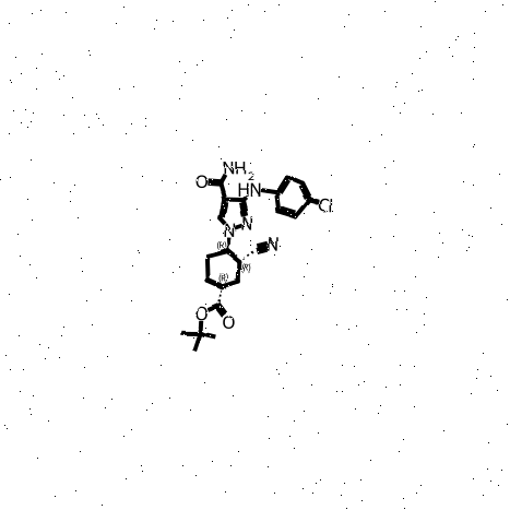 CC(C)(C)OC(=O)[C@@H]1CC[C@@H](n2cc(C(N)=O)c(Nc3ccc(Cl)cc3)n2)[C@H](C#N)C1